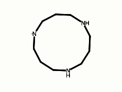 C1C[N]CCCNCCCNC1